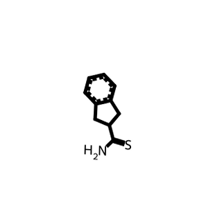 NC(=S)C1Cc2ccccc2C1